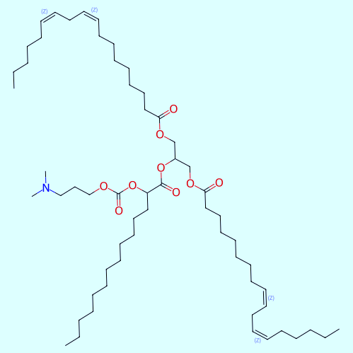 CCCCC/C=C\C/C=C\CCCCCCCC(=O)OCC(COC(=O)CCCCCCC/C=C\C/C=C\CCCCC)OC(=O)C(CCCCCCCCCCCC)OC(=O)OCCCN(C)C